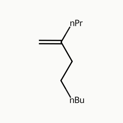 [CH2]CCCCCC(=C)CCC